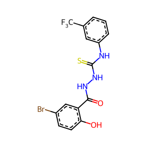 O=C(NNC(=S)Nc1cccc(C(F)(F)F)c1)c1cc(Br)ccc1O